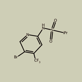 CC(C)S(=O)(=O)Nc1cc(C(F)(F)F)c(Br)cn1